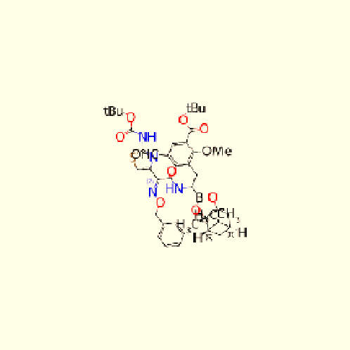 COc1c(CC(NC(=O)/C(=N\OCc2ccccc2)c2csc(NC(=O)OC(C)(C)C)n2)B2OC3C[C@H]4C[C@@H](C4(C)C)[C@]3(C)O2)cc(C=O)cc1C(=O)OC(C)(C)C